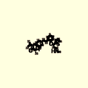 CNCC[C@@H](Oc1ccccc1CCN1CC[C@]2(CN(C(C)C)C(=O)[C@@H](C)O2)[C@H](F)C1)c1cccs1